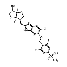 CS(=N)(=O)c1cc(F)c(COc2nc3[nH]c(O[C@@H]4CO[C@H]5[C@@H]4OC[C@H]5O)nc3cc2Cl)c(F)c1